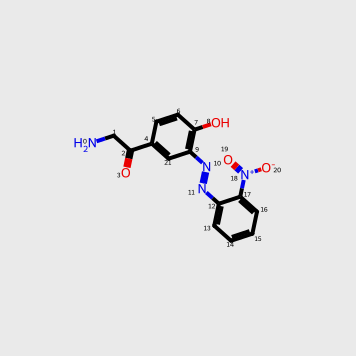 NCC(=O)c1ccc(O)c(N=Nc2ccccc2[N+](=O)[O-])c1